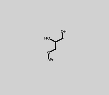 CCCOCC(O)[CH]O